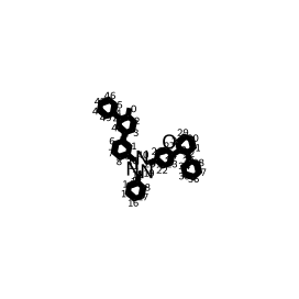 Cc1ccc(-c2cccc(-c3nc(-c4ccccc4)nc(-c4ccc5c(c4)oc4cccc(-c6ccccc6)c45)n3)c2)cc1-c1ccccc1